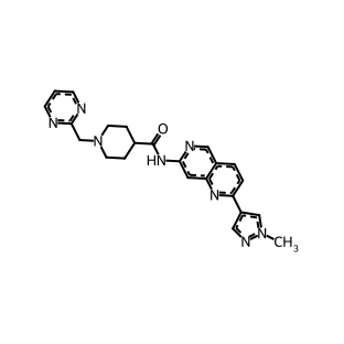 Cn1cc(-c2ccc3cnc(NC(=O)C4CCN(Cc5ncccn5)CC4)cc3n2)cn1